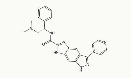 CN(C)C[C@@H](NC(=O)c1nc2cc3c(-c4ccncc4)n[nH]c3cc2[nH]1)c1ccccc1